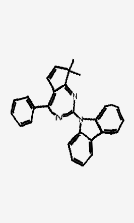 CC1(C)C=Cc2c(-c3ccccc3)nc(-n3c4ccccc4c4ccccc43)nc21